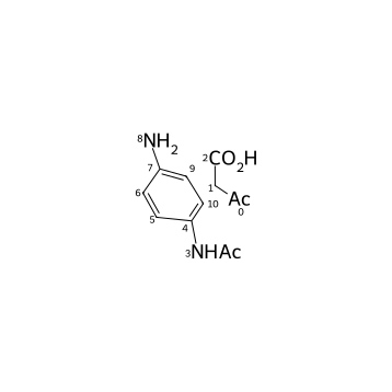 CC(=O)CC(=O)O.CC(=O)Nc1ccc(N)cc1